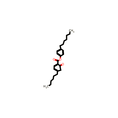 CCCCCCCc1ccc(OC(=O)C2=CC=C(CCCCCC)CC2=O)cc1